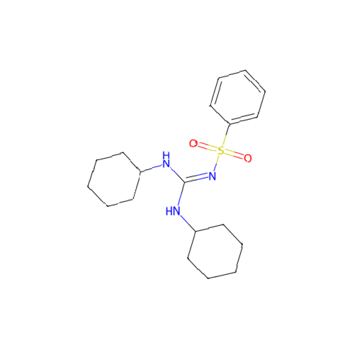 O=S(=O)(N=C(NC1CCCCC1)NC1CCCCC1)c1ccccc1